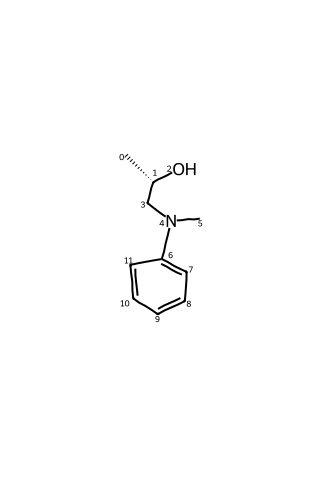 C[C@H](O)CN(C)c1ccccc1